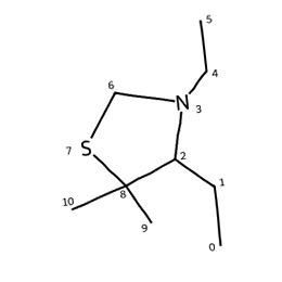 CCC1N(CC)CSC1(C)C